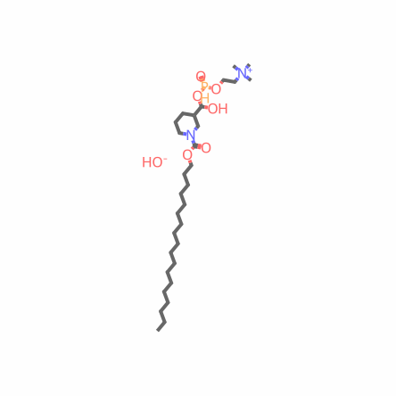 CCCCCCCCCCCCCCCCCCOC(=O)N1CCCC(C(O)O[PH](=O)OCC[N+](C)(C)C)C1.[OH-]